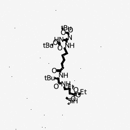 CCOC(CCCNC(=O)C(NC(=O)CCCCCCNC(=NC(=O)OC(C)(C)C)NC(=O)OC(C)(C)C)C(C)(C)C)(OCC)O[SiH](C)C